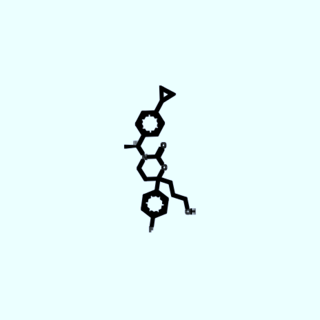 C[C@@H](c1ccc(C2CC2)cc1)N1CCC(CCCO)(c2ccc(F)cc2)OC1=O